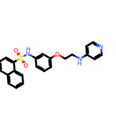 O=S(=O)(Nc1cccc(OCCNc2ccncc2)c1)c1cccc2ccccc12